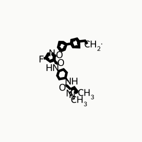 [CH2]Cc1ccc(-c2cccc(Oc3ncc(F)cc3C(=O)N[C@H]3CC[C@H](NC(=O)c4cc(C)n(C)n4)CC3)c2)cc1